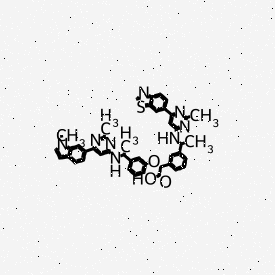 Cc1nc(NC(C)c2cccc(OC(C(=O)O)c3cccc(C(C)Nc4cc(-c5ccc6ncsc6c5)nc(C)n4)c3)c2)cc(-c2ccc3ccn(C)c3c2)n1